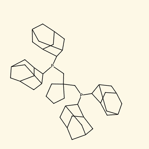 C1CCC(CP(C2C3CC4CC(C3)CC2C4)C2C3CC4CC(C3)CC2C4)(CP(C2C3CC4CC(C3)CC2C4)C2C3CC4CC(C3)CC2C4)C1